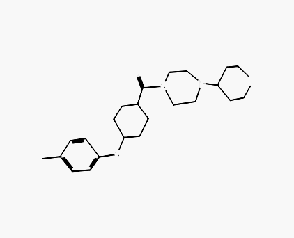 O=C(C1CCC(Nc2ccc(F)cc2)CC1)N1CCN(C2CCOCC2)CC1